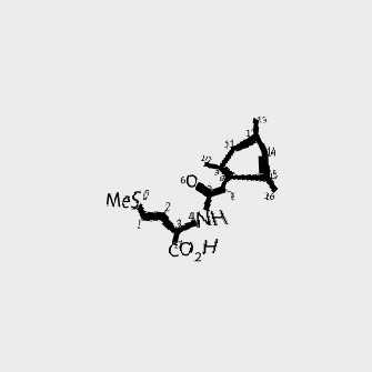 CSCCC(NC(=O)Cc1c(C)cc(C)cc1C)C(=O)O